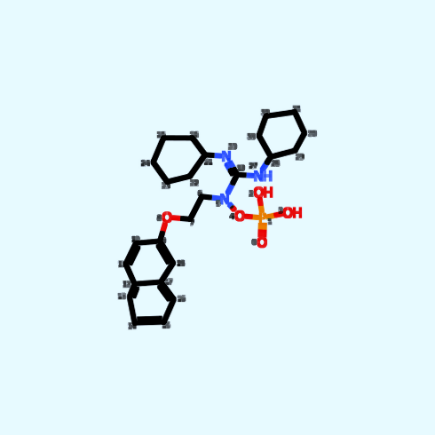 O=P(O)(O)ON(CCOc1ccc2ccccc2c1)C(=NC1CCCCC1)NC1CCCCC1